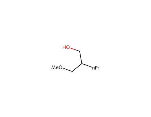 CCCC(CO)COC